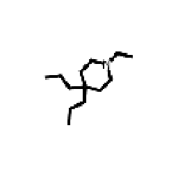 CCCC1(CCC)CCN(CC)CC1